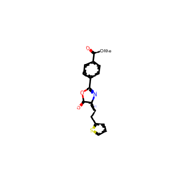 COC(=O)c1ccc(C2=N/C(=C/Cc3cccs3)C(=O)O2)cc1